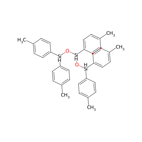 Cc1ccc([SiH](O[SiH](c2ccc(C)cc2)c2ccc(C)cc2)O[SiH](c2ccc(C)cc2)c2ccc(C)cc2)cc1